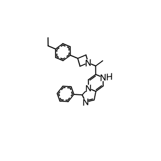 CCc1ccc(C2CN(C(C)C3=CN4C(=CN3)C=NC4c3ccccc3)C2)cc1